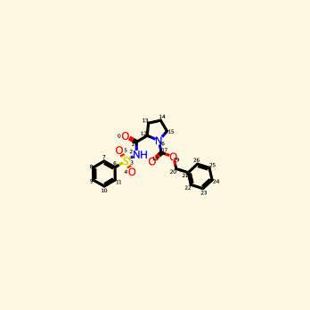 O=C(NS(=O)(=O)c1ccccc1)C1CCCN1C(=O)OCc1ccccc1